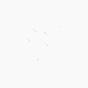 CCCCn1nnc(C(Cl)(Cl)Cl)n1